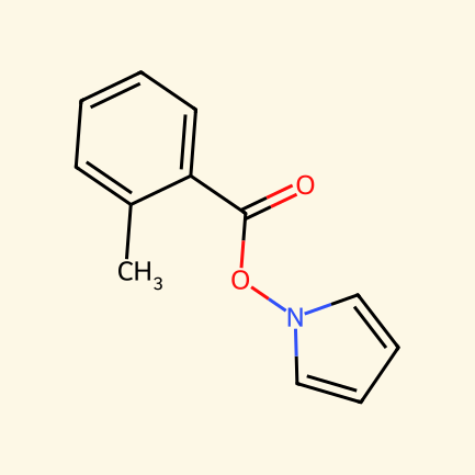 Cc1ccccc1C(=O)On1cccc1